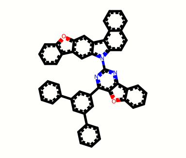 c1ccc(-c2cc(-c3ccccc3)cc(-c3nc(-n4c5cc6c(cc5c5c7ccccc7ccc54)oc4ccccc46)nc4c3oc3ccccc34)c2)cc1